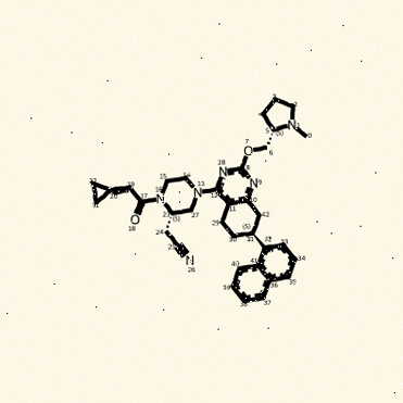 CN1CCC[C@H]1COc1nc2c(c(N3CCN(C(=O)C=C4CC4)[C@@H](CC#N)C3)n1)CC[C@H](c1cccc3ccccc13)C2